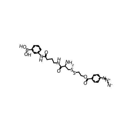 [N-]=[N+]=Nc1ccc(C(=O)OCCSSCC(N)C(=O)NCCCC(=O)Nc2cccc(B(O)O)c2)cc1